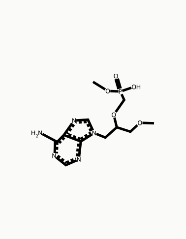 COCC(Cn1cnc2c(N)ncnc21)OCP(=O)(O)OC